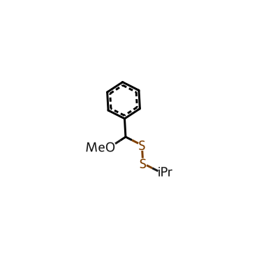 COC(SSC(C)C)c1ccccc1